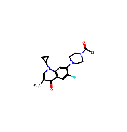 CCC(=O)N1CCN(c2cc3c(cc2F)c(=O)c(C(=O)O)cn3C2CC2)CC1